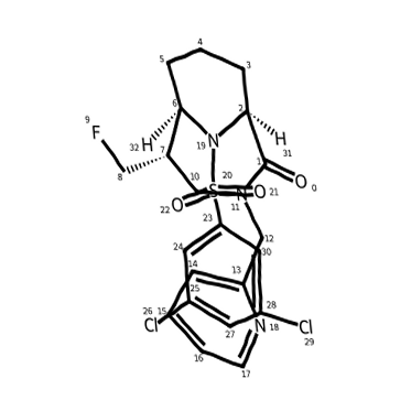 O=C1[C@@H]2CCC[C@H]([C@@H](CF)CN1Cc1ccccn1)N2S(=O)(=O)c1cc(Cl)cc(Cl)c1